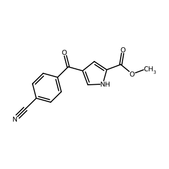 COC(=O)c1cc(C(=O)c2ccc(C#N)cc2)c[nH]1